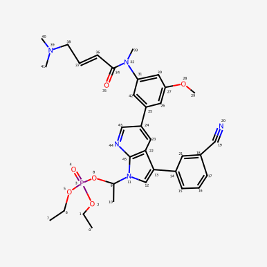 CCOP(=O)(OCC)OC(C)n1cc(-c2cccc(C#N)c2)c2cc(-c3cc(OC)cc(N(C)C(=O)C=CCN(C)C)c3)cnc21